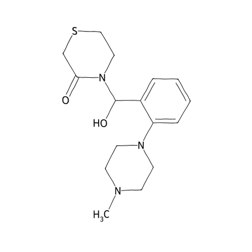 CN1CCN(c2ccccc2C(O)N2CCSCC2=O)CC1